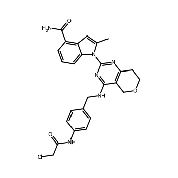 Cc1cc2c(C(N)=O)cccc2n1-c1nc2c(c(NCc3ccc(NC(=O)CCl)cc3)n1)COCC2